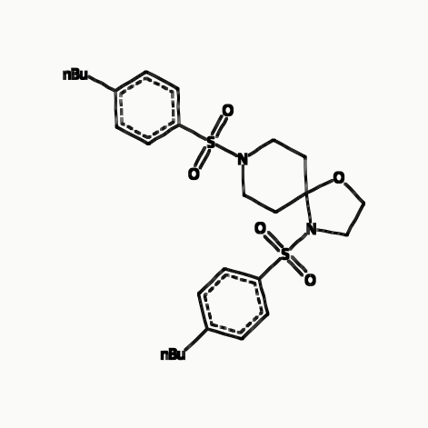 CCCCc1ccc(S(=O)(=O)N2CCC3(CC2)OCCN3S(=O)(=O)c2ccc(CCCC)cc2)cc1